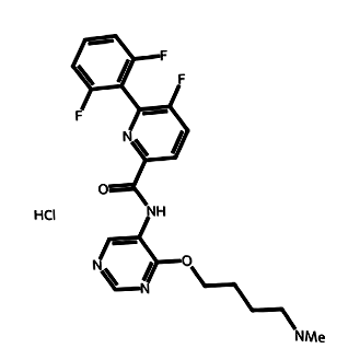 CNCCCCOc1ncncc1NC(=O)c1ccc(F)c(-c2c(F)cccc2F)n1.Cl